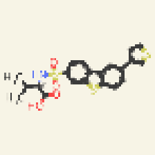 CC(C)[C@H](NS(=O)(=O)c1ccc2c(c1)sc1ccc(-c3ccsc3)cc12)C(=O)O